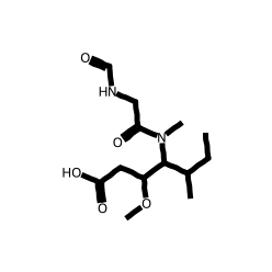 CCC(C)C(C(CC(=O)O)OC)N(C)C(=O)CNC=O